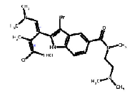 CC(/C(=C\N(C)C)c1[nH]c2ccc(C(=O)N(C)CCN(C)C)cc2c1C(C)C)=C(\Cl)C=O